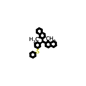 C=c1/c(=C(/c2cccc(Sc3ccccc3)c2)c2ccc3ccccc3c2C)ccc2ccccc12